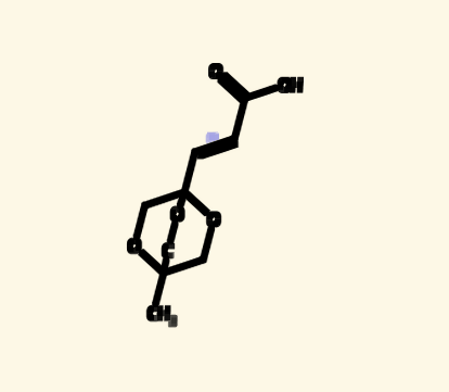 CC12COC(/C=C/C(=O)O)(CO1)OC2